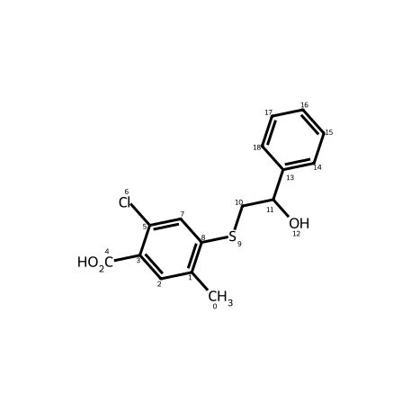 Cc1cc(C(=O)O)c(Cl)cc1SCC(O)c1ccccc1